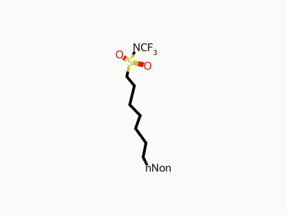 CCCCCCCCCCCCCCCCS(=O)(=O)NC(F)(F)F